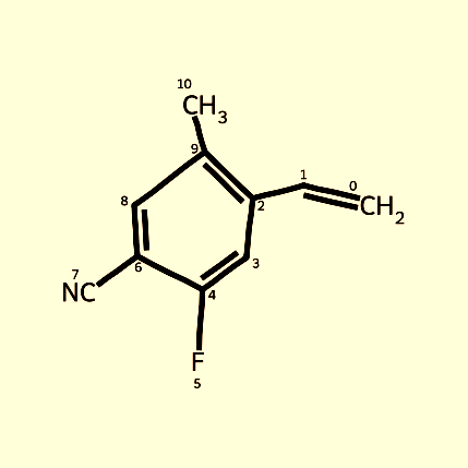 C=Cc1cc(F)c(C#N)cc1C